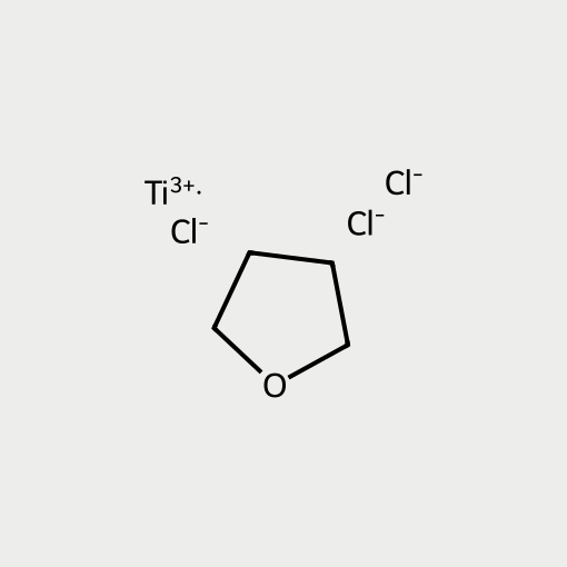 C1CCOC1.[Cl-].[Cl-].[Cl-].[Ti+3]